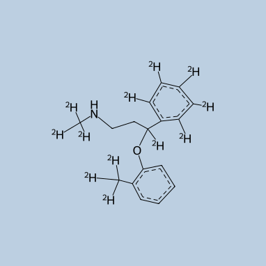 [2H]c1c([2H])c([2H])c(C([2H])(CCNC([2H])([2H])[2H])Oc2ccccc2C([2H])([2H])[2H])c([2H])c1[2H]